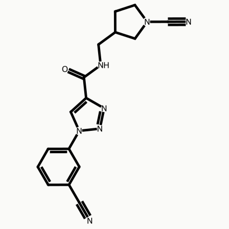 N#Cc1cccc(-n2cc(C(=O)NCC3CCN(C#N)C3)nn2)c1